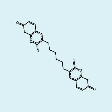 O=C1C=Cc2cc(CCCCCCc3cc4c(oc3=O)CC(=O)C=C4)c(=O)oc2C1